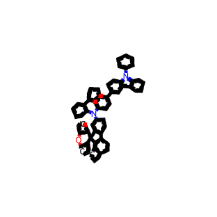 c1ccc(-c2ccccc2N(c2ccc(-c3ccc4c(c3)c3ccccc3n4-c3ccccc3)cc2)c2ccc3c(c2)C2(c4ccccc4Oc4ccccc42)c2c-3ccc3ccccc23)cc1